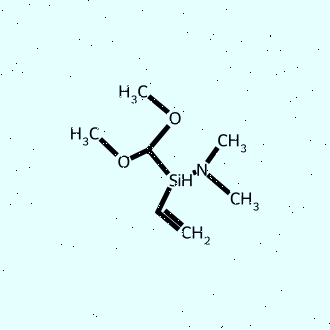 C=C[SiH](C(OC)OC)N(C)C